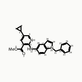 COC(=O)c1cc(C2CC2)cnc1Nc1ccc2c(ccn2Cc2ccccc2)c1